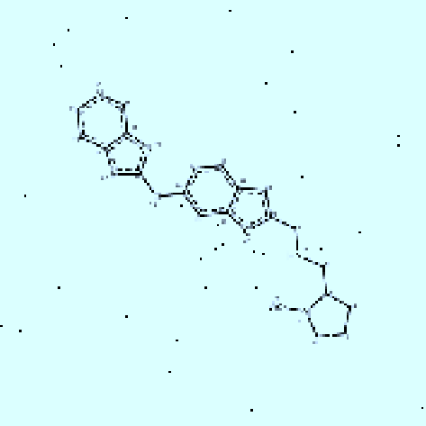 CC(=O)N1CCCC1CNCc1cc2ccc(Oc3nc4cnccc4s3)cc2o1